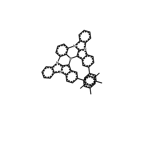 Cc1cc(C)cc(-c2ccc3c(c2)c2c4n(c5ccccc5n34)-c3cccc4c3B2c2c3cc(-c5cc(C)cc(C)c5)ccc3n3c5ccccc5n-4c23)c1